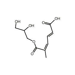 CC(=CC=CC(=O)O)C(=O)OCC(O)CO